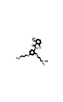 CCCCOc1ccc(PC(=O)c2c(Cl)cccc2OC)c(OCCCC)c1.[LiH]